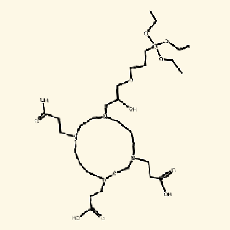 CCO[Si](CCCOCC(O)CN1CCCN(CCC(=O)O)CCN(CCC(=O)O)CCCN(CCC(=O)O)CC1)(OCC)OCC